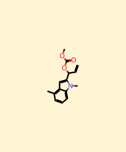 C=CC(OC(=O)OC)c1cc2c(C)cccc2n1C